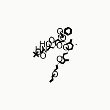 C=CCOC/C=C/[C@H]1CC(=C)C(CC[C@H]2C[C@@H](C)C(=C)[C@@H](CC3O[C@H](C[C@H](O)CNC(=O)OC(C)(C)C)[C@H](OC)[C@H]3CS(=O)(=O)c3ccccc3)O2)O1